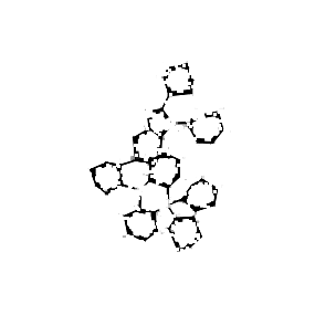 c1ccc(-c2nc3cc(-c4ccccc4N4c5ccccc5[Si](c5ccccc5)(c5ccccc5)c5ccccc54)ccc3n2-c2ccccc2)cc1